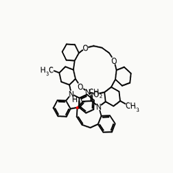 C=C1/C=C\C=C/Cc2ccccc2N1C1CC(C)CC2C3CCCCC3OCCCOC3CCCCC3C3CC(C)CC(n4c5ccccc5c5ccccc54)C3ON(C)OC21